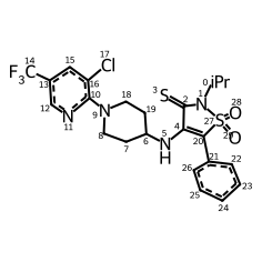 CC(C)N1C(=S)C(NC2CCN(c3ncc(C(F)(F)F)cc3Cl)CC2)=C(c2ccccc2)S1(=O)=O